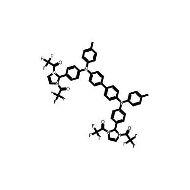 Cc1ccc(N(c2ccc(-c3ccc(N(c4ccc(C)cc4)c4ccc(C5N(C(=O)C(F)(F)F)C=CN5C(=O)C(F)(F)F)cc4)cc3)cc2)c2ccc(C3N(C(=O)C(F)(F)F)C=CN3C(=O)C(F)(F)F)cc2)cc1